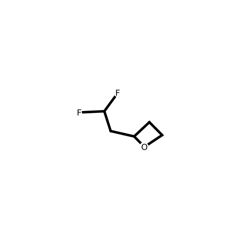 FC(F)CC1CCO1